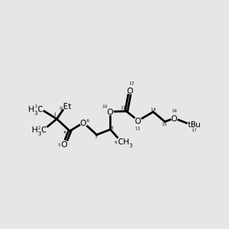 CCC(C)(C)C(=O)OCC(C)OC(=O)OCCOC(C)(C)C